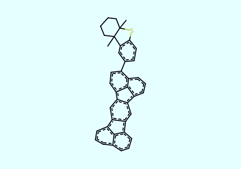 CC12CCCCC1(C)c1cc(-c3ccc4c5cc6c(cc5c5cccc3c54)c3cccc4cccc6c43)ccc1S2